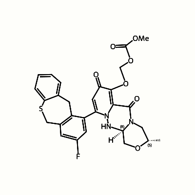 COC(=O)OCOc1c2n(c(-c3cc(F)cc4c3Cc3ccccc3SC4)cc1=O)N[C@@H]1CO[C@@H](C)CN1C2=O